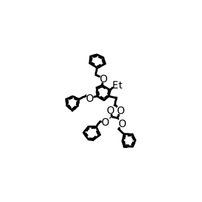 CCc1c(CC2O[C@@H](OCc3ccccc3)[C@H](OCc3ccccc3)O2)cc(OCc2ccccc2)cc1OCc1ccccc1